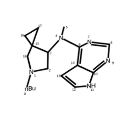 CCCCN1CC(N(C)c2ncnc3[nH]ccc23)C2(CC2)C1